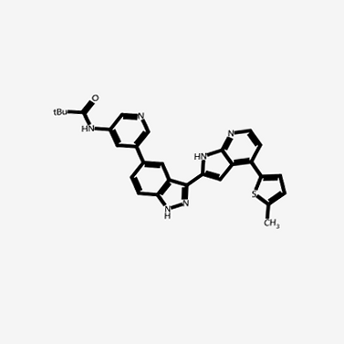 Cc1ccc(-c2ccnc3[nH]c(-c4n[nH]c5ccc(-c6cncc(NC(=O)C(C)(C)C)c6)cc45)cc23)s1